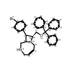 Brc1ccc(C2C3CNC/C=C\CN3[C@@H]2COC(c2ccccc2)(c2ccccc2)c2ccccc2)cc1